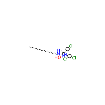 CCCCCCCCCCCCCCCCNC(O)c1nn(-c2ccc(Cl)cc2Cl)c(-c2ccc(Cl)cc2)c1C